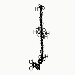 CN1Cc2c(Cl)cc(Cl)cc2[C@H](c2ccc(S(=O)(=O)NCCOCCOCCOCCNC(=O)[C@@H](O)[C@H](O)C(=O)NCCOCCOCCOCCNS(C)(=O)=O)cc2)C1